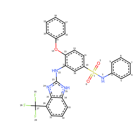 O=S(=O)(Nc1ccccc1)c1ccc(Oc2ccccc2)c(Nc2nc3c(C(F)(F)F)cccc3[nH]2)c1